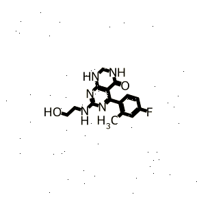 Cc1cc(F)ccc1-c1nc(NCCO)nc2c1C(=O)NCN2